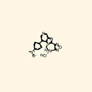 CCn1c(-c2nonc2N)nc2cncc(-c3ccc([S+](C)[O-])cc3)c21.Cl